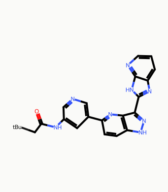 CC(C)(C)CC(=O)Nc1cncc(-c2ccc3[nH]nc(-c4nc5cccnc5[nH]4)c3n2)c1